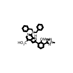 COc1c(-c2nnn(C)n2)cccc1-c1cc2c(C(=O)O)cnc(N(Cc3ccccc3)Cc3ccccc3)c2[nH]1